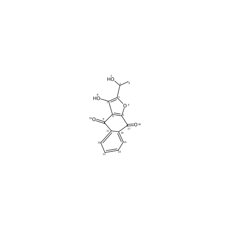 CC(O)c1oc2c(c1O)C(=O)c1ccccc1C2=O